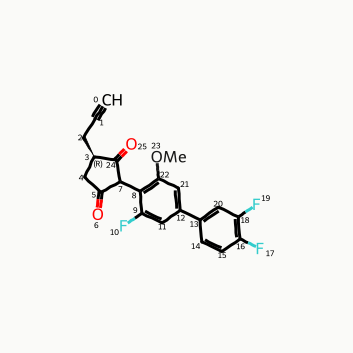 C#CC[C@@H]1CC(=O)C(c2c(F)cc(-c3ccc(F)c(F)c3)cc2OC)C1=O